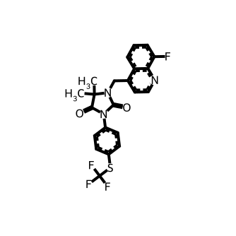 CC1(C)C(=O)N(c2ccc(SC(F)(F)F)cc2)C(=O)N1Cc1ccnc2c(F)cccc12